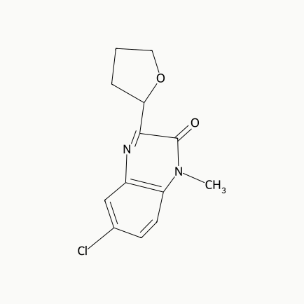 Cn1c(=O)c(C2CCCO2)nc2cc(Cl)ccc21